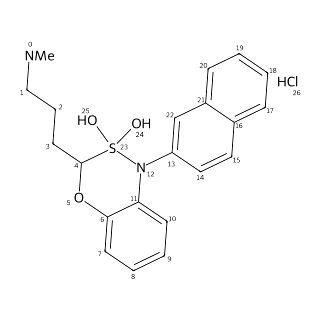 CNCCCC1Oc2ccccc2N(c2ccc3ccccc3c2)S1(O)O.Cl